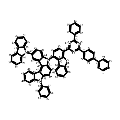 c1ccc(-c2ccc(-c3nc(-c4ccccc4)nc(-c4ccc(-n5c6ccc(-n7c8ccccc8c8ccccc87)cc6c6c7c8ccccc8n(-c8ccccc8)c7ccc65)c5c4oc4ccccc45)n3)cc2)cc1